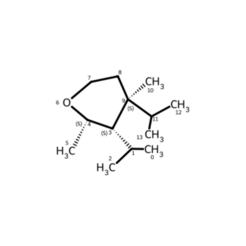 CC(C)[C@@H]1[C@H](C)OCC[C@@]1(C)C(C)C